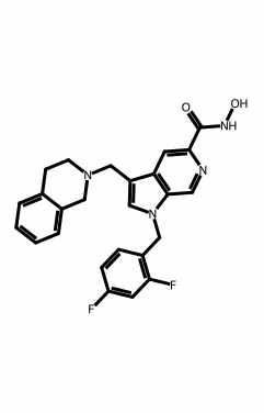 O=C(NO)c1cc2c(CN3CCc4ccccc4C3)cn(Cc3ccc(F)cc3F)c2cn1